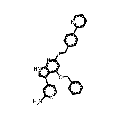 Nc1cc(-c2c[nH]c3nc(OCc4ccc(-c5ccccn5)cc4)cc(OCc4ccccc4)c23)ccn1